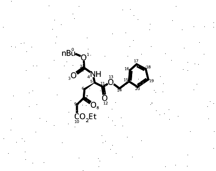 CCCCOC(=O)N[C@H](CC(=O)CC(=O)OCC)C(=O)OCc1ccccc1